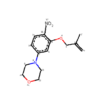 C=C(C)COc1cc(N2CCOCC2)ccc1[N+](=O)[O-]